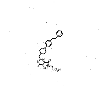 Cc1nc(CC2CCN(c3ccc(CCc4ccccc4)cc3)CC2)nc(C(=O)NCC(=O)O)c1O